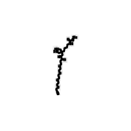 C#CCOCCOCCOCCOCCC(=O)NCC(CO)(CO)CCCCNC(=O)OC(C)(C)C